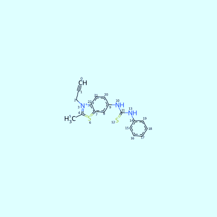 C#CC[n+]1c(C)sc2cc(NC(=S)Nc3ccccc3)ccc21